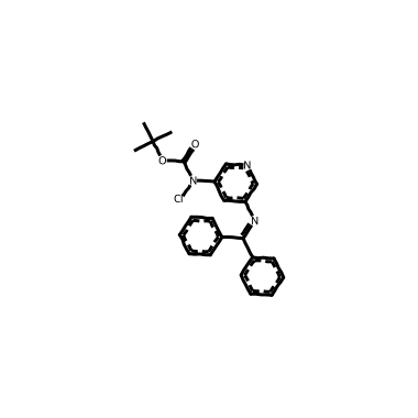 CC(C)(C)OC(=O)N(Cl)c1cncc(N=C(c2ccccc2)c2ccccc2)c1